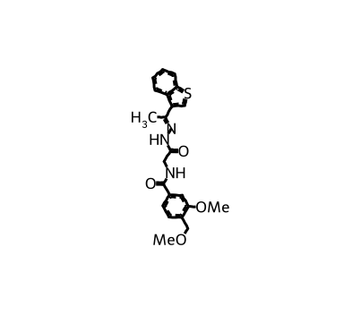 COCc1ccc(C(=O)NCC(=O)N/N=C(\C)c2csc3ccccc23)cc1OC